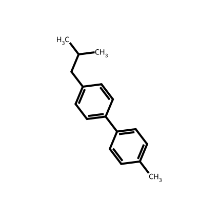 Cc1ccc(-c2ccc(CC(C)C)cc2)cc1